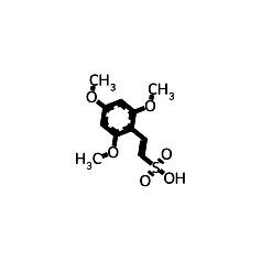 COc1cc(OC)c(/C=C/S(=O)(=O)O)c(OC)c1